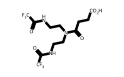 O=C(O)CCC(=O)N(CCNC(=O)C(F)(F)F)CCNC(=O)C(F)(F)F